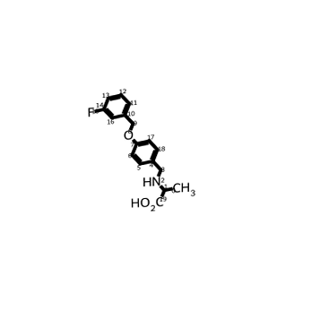 CC(NCc1ccc(OCc2cccc(F)c2)cc1)C(=O)O